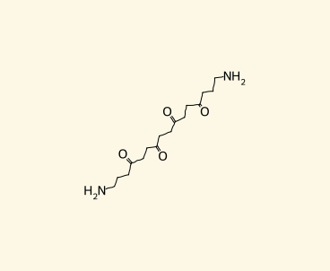 NCCCC(=O)CCC(=O)CCC(=O)CCC(=O)CCCN